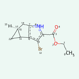 CCOC(=O)c1[nH]c2c(c1Br)C1C[C@H]1C2